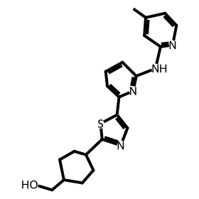 Cc1ccnc(Nc2cccc(-c3cnc(C4CCC(CO)CC4)s3)n2)c1